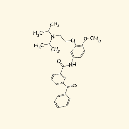 COc1ccc(NC(=O)c2cccc(C(=O)c3ccccc3)c2)cc1OCCN(C(C)C)C(C)C